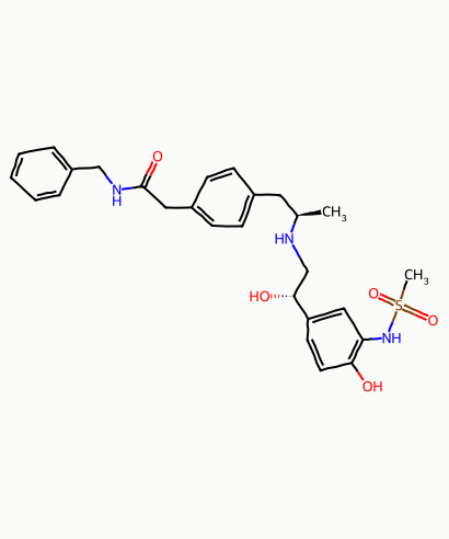 C[C@H](Cc1ccc(CC(=O)NCc2ccccc2)cc1)NC[C@@H](O)c1ccc(O)c(NS(C)(=O)=O)c1